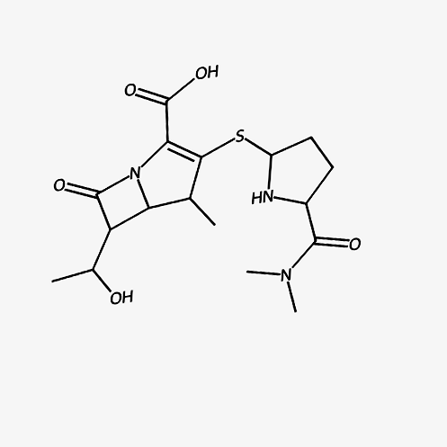 CC(O)C1C(=O)N2C(C(=O)O)=C(SC3CCC(C(=O)N(C)C)N3)C(C)C12